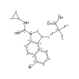 CC1CN(C(=N)NC2CC2)c2ccc3c(Br)cccc3c21.O=C(O)C(F)(F)F